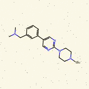 CN(C)Cc1cccc(-c2cnc(N3CCN(C(C)(C)C)CC3)nc2)c1